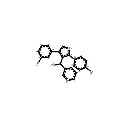 OC(c1cccnc1)c1c(-c2cccc(F)c2)csc1-c1ccc(Cl)cc1